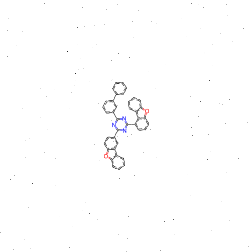 c1ccc(-c2cccc(-c3nc(-c4ccc5oc6ccccc6c5c4)nc(-c4cccc5oc6ccccc6c45)n3)c2)cc1